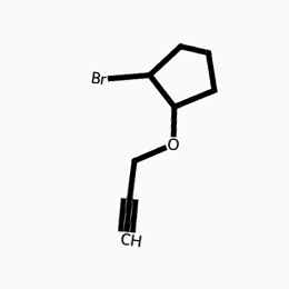 C#CCOC1CCCC1Br